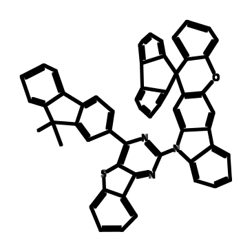 CC1(C)c2ccccc2-c2ccc(-c3nc(-n4c5ccccc5c5cc6c(cc54)C4(c5ccccc5O6)c5ccccc5-c5ccccc54)nc4c3sc3ccccc34)cc21